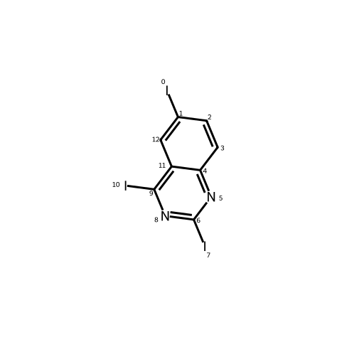 Ic1ccc2nc(I)nc(I)c2c1